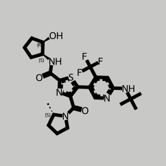 C[C@H]1CCCN1C(=O)c1nc(C(=O)N[C@H]2CCC[C@H]2O)sc1-c1cnc(NC(C)(C)C)cc1C(F)(F)F